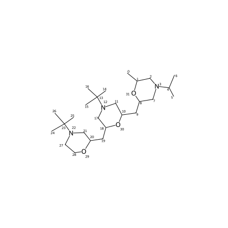 CC1CN(C(C)C)CC(CC2CN(C(C)(C)C)CC(CC3CN(C(C)(C)C)CCO3)O2)O1